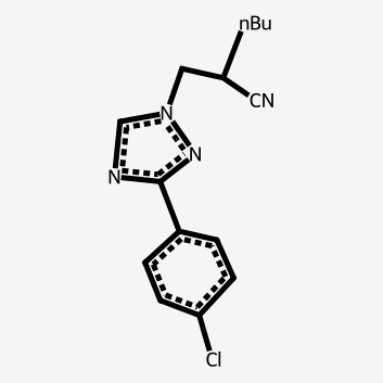 CCCCC(C#N)Cn1cnc(-c2ccc(Cl)cc2)n1